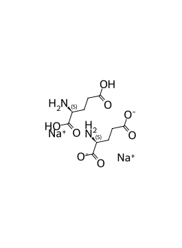 N[C@@H](CCC(=O)O)C(=O)O.N[C@@H](CCC(=O)[O-])C(=O)[O-].[Na+].[Na+]